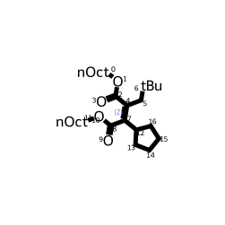 CCCCCCCCOC(=O)/C(CC(C)(C)C)=C(\C(=O)OCCCCCCCC)C1CCCC1